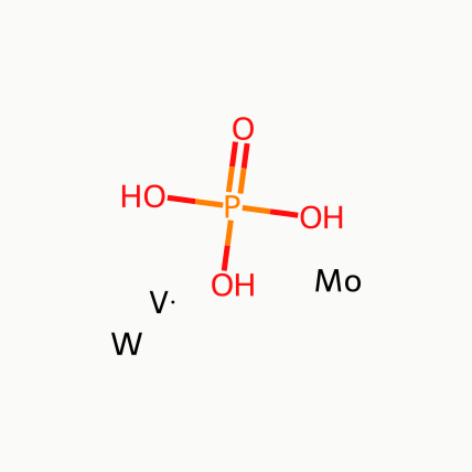 O=P(O)(O)O.[Mo].[V].[W]